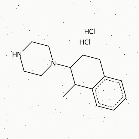 CC1c2ccccc2CCC1N1CCNCC1.Cl.Cl